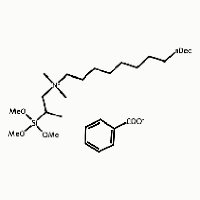 CCCCCCCCCCCCCCCCCC[N+](C)(C)CC(C)[Si](OC)(OC)OC.O=C([O-])c1ccccc1